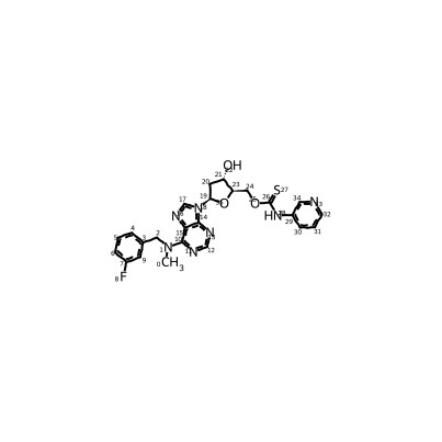 CN(Cc1cccc(F)c1)c1ncnc2c1ncn2[C@H]1C[C@H](O)[C@@H](COC(=S)Nc2cccnc2)O1